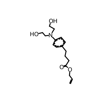 C=CCOC(=O)CCCc1ccc(N(CCO)CCO)cc1